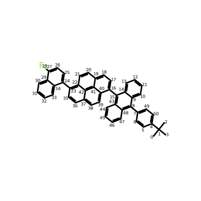 CC(C)(C)c1ccc(-c2c3ccccc3c(-c3ccc4ccc5c(-c6ccc(F)c7ccccc67)ccc6ccc3c4c65)c3ccccc23)cc1